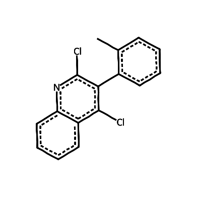 Cc1ccccc1-c1c(Cl)nc2ccccc2c1Cl